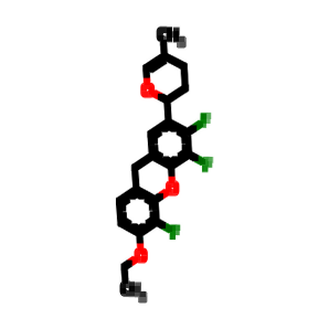 CCOc1ccc2c(c1F)Oc1c(cc(C3CCC(C)=CO3)c(F)c1F)C2